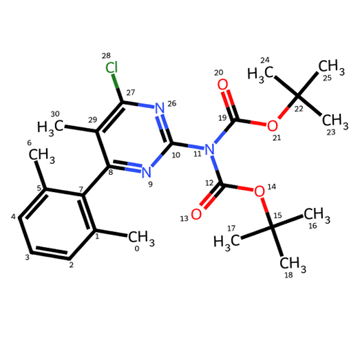 Cc1cccc(C)c1-c1nc(N(C(=O)OC(C)(C)C)C(=O)OC(C)(C)C)nc(Cl)c1C